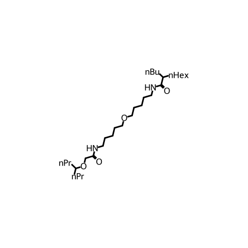 CCCCCCC(CCCC)C(=O)NCCCCCOCCCCCNC(=O)COC(CCC)CCC